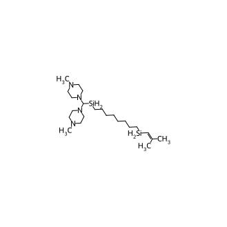 CC(C)=C[SiH2]CCCCCCCC[SiH2]C(N1CCN(C)CC1)N1CCN(C)CC1